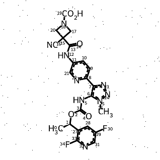 C[C@@H](OC(=O)Nc1c(-c2ccc(NC(=O)C3(C#N)CN(C(=O)O)C3)cn2)nnn1C)c1cc(F)cnc1F